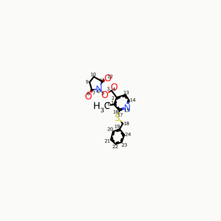 Cc1c(C(=O)ON2C(=O)CCC2=O)ccnc1SCc1ccccc1